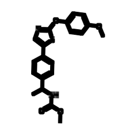 COC(=O)NC(C)c1ccc(-c2cnc(Oc3ccc(OC)cc3)s2)cc1